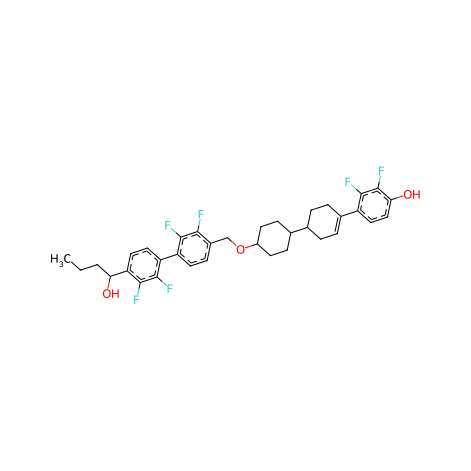 CCCC(O)c1ccc(-c2ccc(COC3CCC(C4CC=C(c5ccc(O)c(F)c5F)CC4)CC3)c(F)c2F)c(F)c1F